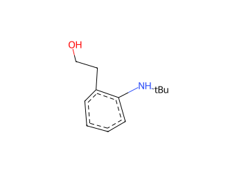 CC(C)(C)Nc1ccccc1CCO